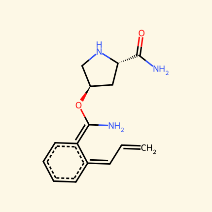 C=C/C=c1/cccc/c1=C(/N)O[C@H]1CN[C@H](C(N)=O)C1